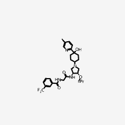 CCCO[C@@H]1CN(C2CCC(O)(c3ccc(C)cn3)CC2)C[C@@H]1NC(=O)CNC(=O)c1cccc(C(F)(F)F)c1